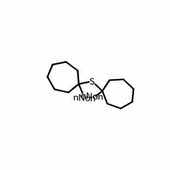 CCCCCCCCCC1(SC2(CCCCCCCCC)CCCCCC2)CCCCCC1